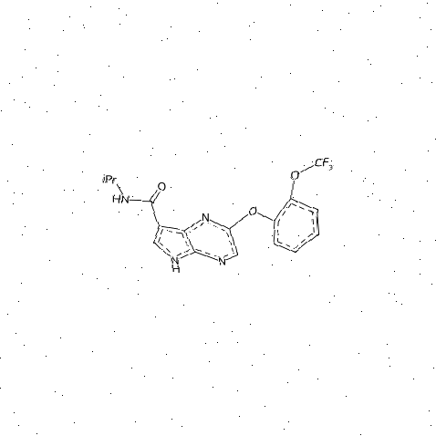 CC(C)NC(=O)c1c[nH]c2ncc(Oc3ccccc3OC(F)(F)F)nc12